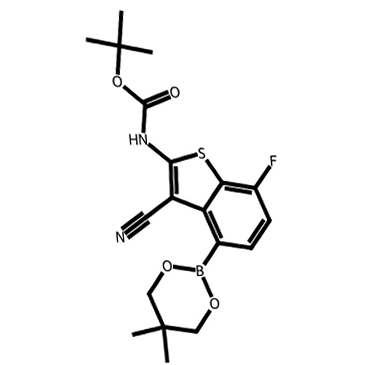 CC1(C)COB(c2ccc(F)c3sc(NC(=O)OC(C)(C)C)c(C#N)c23)OC1